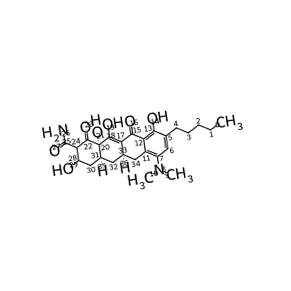 CCCCCc1cc(N(C)C)c2c(c1O)C(=O)C1=C(O)[C@]3(O)C(=O)C(C(N)=O)C(O)C[C@@H]3C[C@@H]1C2